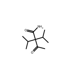 CC(=O)C(C(N)=O)(C(C)C)C(C)C